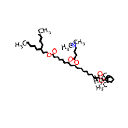 CCCCCC(CCCCC)CCOC(=O)CCCCCCCC(CCCCCCCC(=O)OC1CC2CCC1(C)C2(C)C)OC(=O)CCCN(C)C